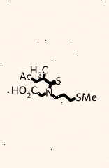 CSCCCN(CC(=O)O)C(=S)C(C)CC(C)=O